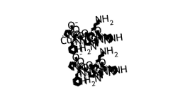 NCCCC[C@H](NC(=O)[C@H](Cc1c[nH]cn1)NC(=O)CN)C(=O)N1CCC[C@H]1C(=O)N[C@@H](Cc1ccccc1)C(=O)N1CCC[C@H]1C(=O)[O-].NCCCC[C@H](NC(=O)[C@H](Cc1c[nH]cn1)NC(=O)CN)C(=O)N1CCC[C@H]1C(=O)N[C@@H](Cc1ccccc1)C(=O)N1CCC[C@H]1C(=O)[O-].[Cu+2]